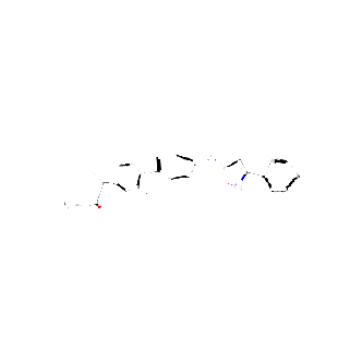 COC(=O)C(C)c1ccc(-c2ccc(Nc3cc(-c4ccccc4)no3)cc2)c(F)c1